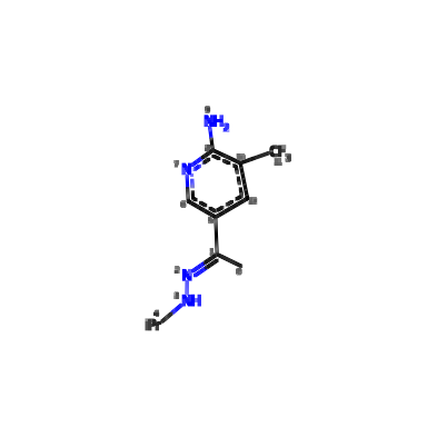 C/C(=N\NC(C)C)c1cnc(N)c(C(F)(F)F)c1